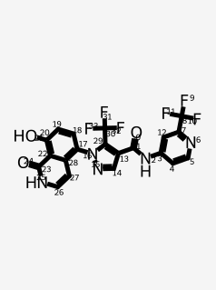 O=C(Nc1ccnc(C(F)(F)F)c1)c1cnn(-c2ccc(O)c3c(=O)[nH]ccc23)c1C(F)(F)F